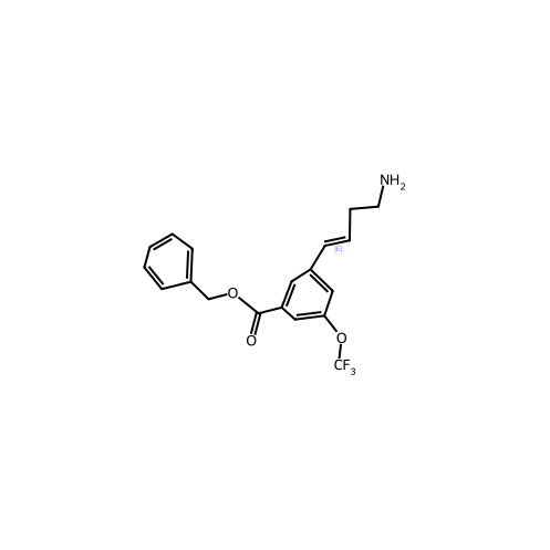 NCC/C=C/c1cc(OC(F)(F)F)cc(C(=O)OCc2ccccc2)c1